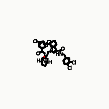 CC(C)Oc1cccc2c(C(=O)NCc3ccc(Cl)c(Cl)c3)cn(CCCN3[C@@H]4CC[C@H]3C[C@@H](CC(=O)c3cc(Cl)cc(Cl)c3)C4)c12